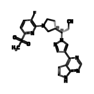 CS(=O)(=O)c1ccc(F)c(N2CC[C@H]([C@H](CC#N)n3cc(-c4ncnc5[nH]ccc45)cn3)C2)n1